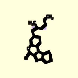 C=C/C=C\C(C)=C/c1ccc2c(c1)oc(=O)c1nc3ccccc3n12